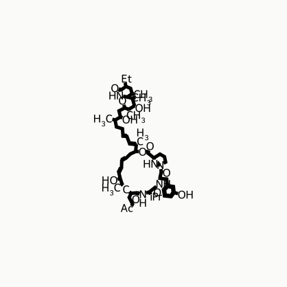 CCC1CC(C)C2(NC1=O)OC(CC(O)C(C)CC/C=C/C=C(\C)C1C/C=C/C=C/C(O)C(C)CC(CCC(C)=O)C(=O)NC(C(C)C)C(=O)NC(Cc3cccc(O)c3)C(=O)N3CCCC(N3)C(=O)O1)C(C)C(O)C2C